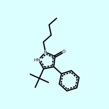 CCCCn1[nH]c(C(C)(C)C)c(-c2ccccc2)c1=O